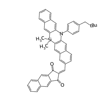 CC(C)(C)Cc1ccc(N2c3cc4ccccc4cc3[Si](C)(C)c3cc4cc(C=C5C(=O)c6cc7ccccc7cc6C5=O)ccc4cc32)cc1